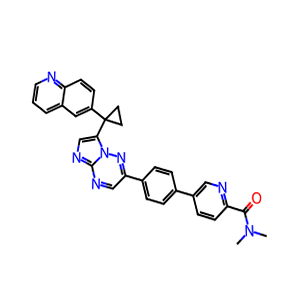 CN(C)C(=O)c1ccc(-c2ccc(-c3cnc4ncc(C5(c6ccc7ncccc7c6)CC5)n4n3)cc2)cn1